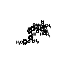 COc1cc2ncnc(Nc3ccc(Oc4ccc(C)nc4)c(C)c3)c2cc1NC(=O)C(C[SH]=C(C)O)C[SH]=C(C)O